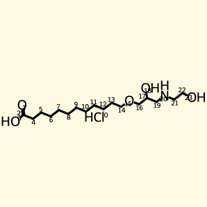 Cl.O=C(O)CCCCCCCCCCCOCC(O)CNCCO